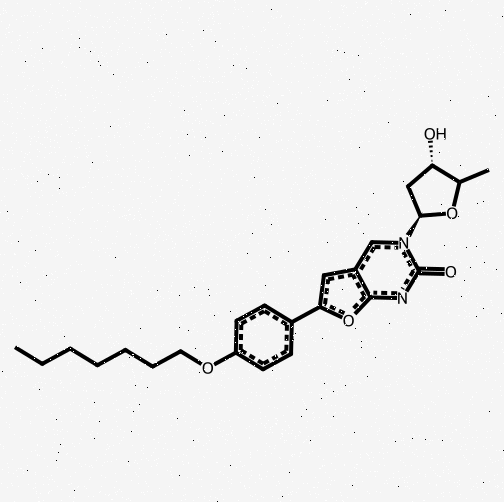 CCCCCCCOc1ccc(-c2cc3cn([C@H]4C[C@H](O)C(C)O4)c(=O)nc3o2)cc1